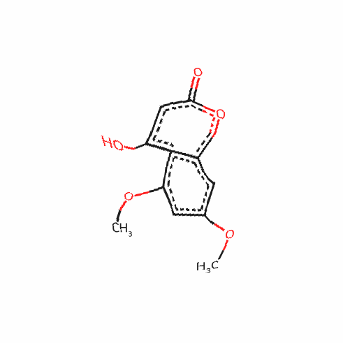 COc1cc(OC)c2c(O)cc(=O)oc2c1